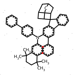 CC1(C)CCC(C)(C)c2cc(N(c3ccc(-c4ccccc4)cc3)c3cc4c(cc3-c3ccccc3)-c3ccccc3C43C4CC5CC6CC3C64C5)ccc21